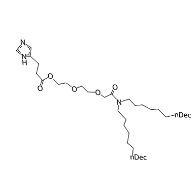 CCCCCCCCCCCCCCCCN(CCCCCCCCCCCCCCCC)C(=O)COCCOCCOC(=O)CCc1cnc[nH]1